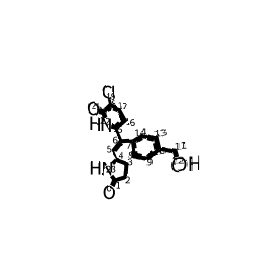 O=C1CC[C@H](/C=C(\c2ccc(CO)cc2)c2ccc(Cl)c(=O)[nH]2)N1